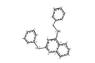 c1ccc(CNc2nc(Nc3ccccc3)nc3ccccc23)cc1